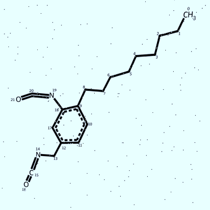 CCCCCCCCCc1ccc(CN=C=O)cc1N=C=O